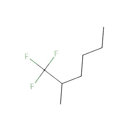 [CH2]C(CCCC)C(F)(F)F